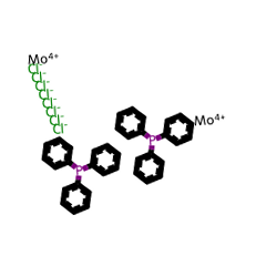 [Cl-].[Cl-].[Cl-].[Cl-].[Cl-].[Cl-].[Cl-].[Cl-].[Mo+4].[Mo+4].c1ccc(P(c2ccccc2)c2ccccc2)cc1.c1ccc(P(c2ccccc2)c2ccccc2)cc1